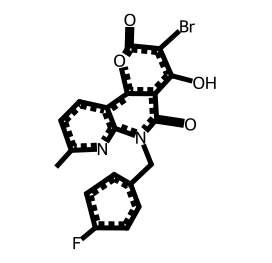 Cc1ccc2c3oc(=O)c(Br)c(O)c3c(=O)n(Cc3ccc(F)cc3)c2n1